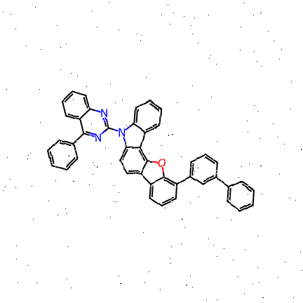 c1ccc(-c2cccc(-c3cccc4c3oc3c4ccc4c3c3ccccc3n4-c3nc(-c4ccccc4)c4ccccc4n3)c2)cc1